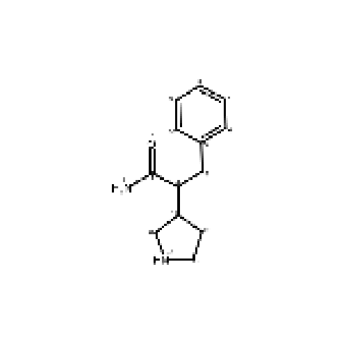 NC(=O)C(Cc1ccccc1)C1CCNC1